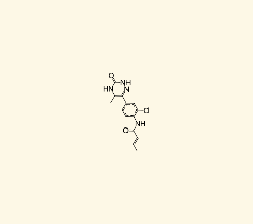 CC=CC(=O)Nc1ccc(C2=NNC(=O)NC2C)cc1Cl